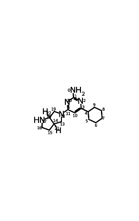 Nc1nc(C2CCCCC2)cc(N2C[C@@H]3CCN[C@@H]3C2)n1